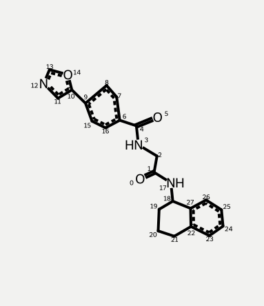 O=C(CNC(=O)c1ccc(-c2cnco2)cc1)NC1CCCc2ccccc21